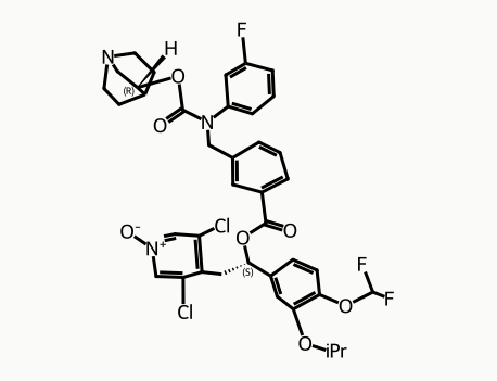 CC(C)Oc1cc([C@H](Cc2c(Cl)c[n+]([O-])cc2Cl)OC(=O)c2cccc(CN(C(=O)O[C@H]3CN4CCC3CC4)c3cccc(F)c3)c2)ccc1OC(F)F